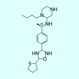 CCCCN1CCNCC1N[C@H](C)c1ccc(C2NOC(C3CCCS3)N2)cc1